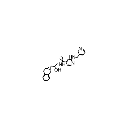 O=C(NCC(O)CN1CCc2ccccc2C1)c1ccnc(NCc2cccnc2)c1